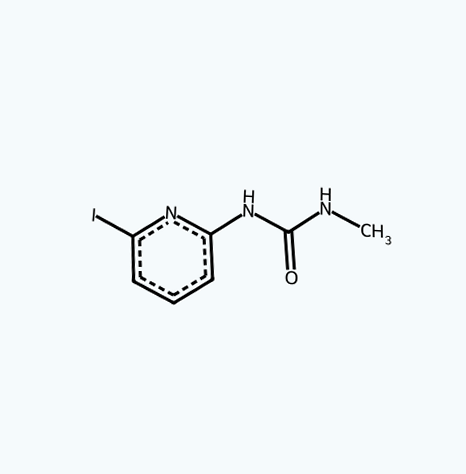 CNC(=O)Nc1cccc(I)n1